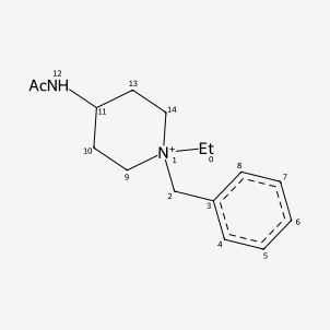 CC[N+]1(Cc2ccccc2)CCC(NC(C)=O)CC1